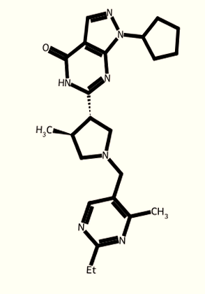 CCc1ncc(CN2C[C@@H](C)[C@H](c3nc4c(cnn4C4CCCC4)c(=O)[nH]3)C2)c(C)n1